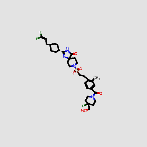 Cc1cc(C(=O)N2CCC(F)(CO)CC2)ccc1CCS(=O)(=O)N1CCC2(CC1)N=C([C@H]1CC[C@H](CC=C(F)F)CC1)NC2=O